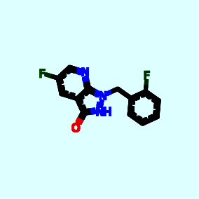 O=c1[nH]n(Cc2ccccc2F)c2ncc(F)cc12